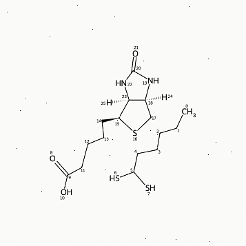 CCCCCC(S)S.O=C(O)CCCC[C@@H]1SC[C@@H]2NC(=O)N[C@@H]21